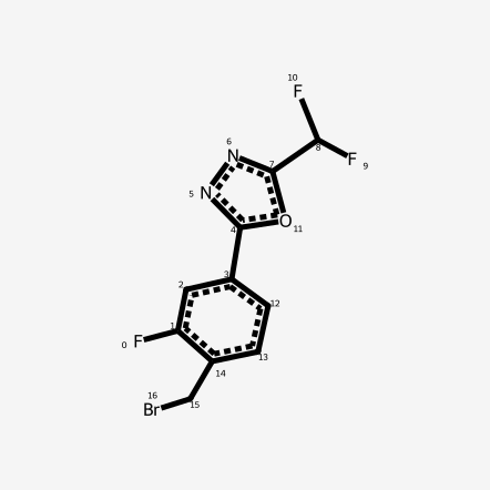 Fc1cc(-c2nnc(C(F)F)o2)ccc1CBr